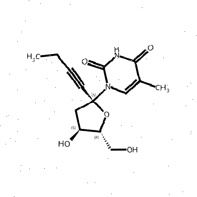 CCC#C[C@]1(n2cc(C)c(=O)[nH]c2=O)C[C@H](O)[C@@H](CO)O1